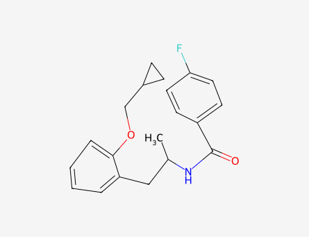 CC(Cc1ccccc1OCC1CC1)NC(=O)c1ccc(F)cc1